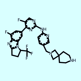 Fc1cnc(Nc2ccc(CN3CC4(CCNCC4)C3)cn2)nc1-c1cc(F)c2nc3n(c2c1)C(C(F)(F)F)CC3